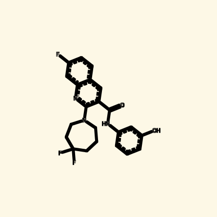 O=C(Nc1cccc(O)c1)c1cc2ccc(F)cc2nc1N1CCCC(F)(F)CC1